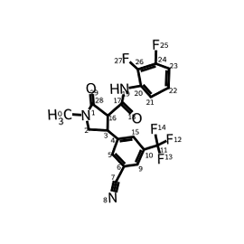 CN1CC(c2cc(C#N)cc(C(F)(F)F)c2)C(C(=O)Nc2cccc(F)c2F)C1=O